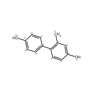 Cc1cc(O)ccc1-c1ccc(O)cc1